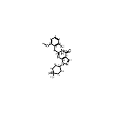 COc1cccc(Cl)c1Cc1nc2c(cnn2C2CCC(F)(F)CC2)c(=O)[nH]1